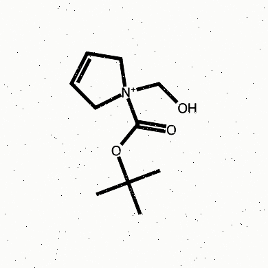 CC(C)(C)OC(=O)[N+]1(CO)CC=CC1